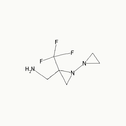 NCC1(C(F)(F)F)CN1N1CC1